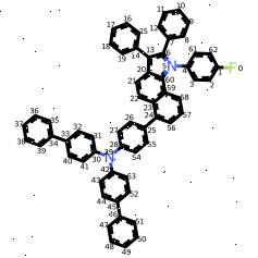 Fc1ccc(-n2c(-c3ccccc3)c(-c3ccccc3)c3ccc4c(-c5ccc(N(c6ccc(-c7ccccc7)cc6)c6ccc(-c7ccccc7)cc6)cc5)cccc4c32)cc1